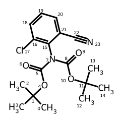 CC(C)(C)OC(=O)N(C(=O)OC(C)(C)C)c1c(Cl)cccc1C#N